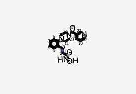 O=C(/C=C/c1ccccc1N1CCN(C(=O)c2cccnc2)CC1)NO